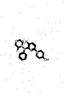 O=[N+]([O-])c1ccc(N2CCC(O)CC2)nc1N(c1ccccc1)N1CCOCC1F